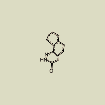 O=c1cc2ccc3ccccc3c2n[nH]1